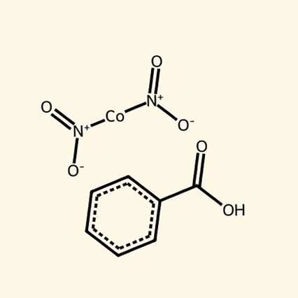 O=C(O)c1ccccc1.O=[N+]([O-])[Co][N+](=O)[O-]